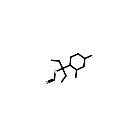 CCC(CC)(O[C]=O)C1CCC(C)CC1C